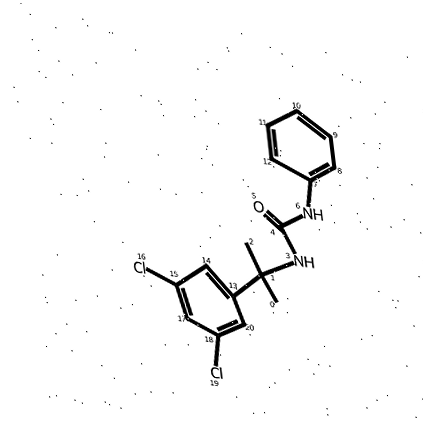 CC(C)(NC(=O)Nc1ccccc1)c1cc(Cl)cc(Cl)c1